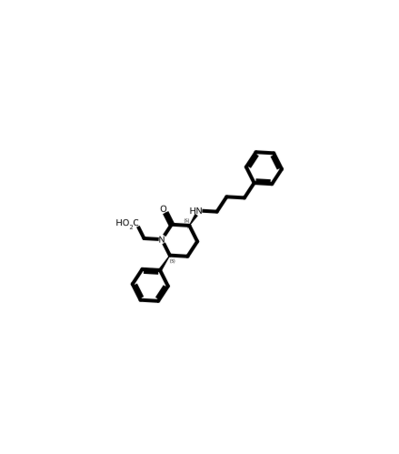 O=C(O)CN1C(=O)[C@@H](NCCCc2ccccc2)CC[C@H]1c1ccccc1